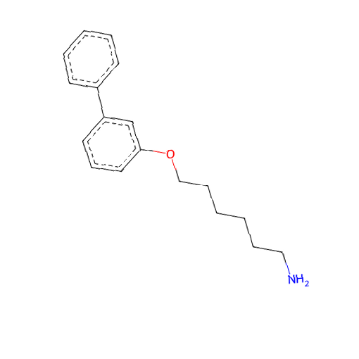 NCCCCCCOc1cccc(-c2ccccc2)c1